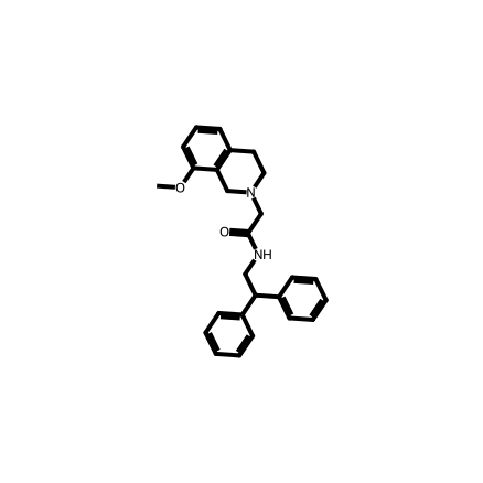 COc1cccc2c1CN(CC(=O)NCC(c1ccccc1)c1ccccc1)CC2